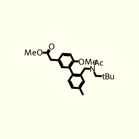 COC(=O)Cc1ccc(OC)c(-c2ccc(C)cc2CN(CC(C)(C)C)C(C)=O)c1